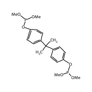 COP(OC)Oc1ccc(C(C)(C)c2ccc(OP(OC)OC)cc2)cc1